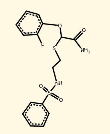 NC(=O)C(Oc1ccccc1F)SCCNS(=O)(=O)c1ccccc1